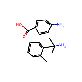 Cc1ccccc1C(C)(C)N.Nc1ccc(C(=O)O)cc1